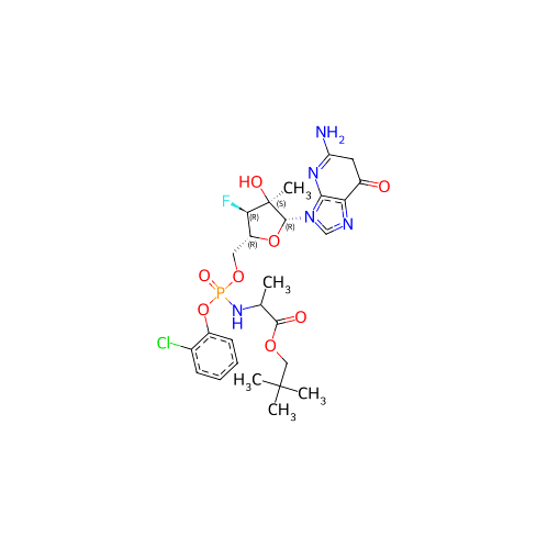 CC(NP(=O)(OC[C@H]1O[C@@H](n2cnc3c2N=C(N)CC3=O)[C@](C)(O)[C@@H]1F)Oc1ccccc1Cl)C(=O)OCC(C)(C)C